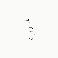 COC1CN([S+]([O-])c2ccc(OC/C(=C/F)CN)nc2)C1